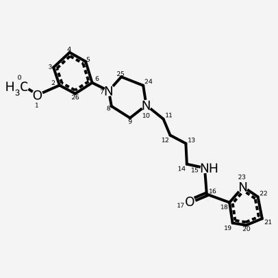 COc1cccc(N2CCN(CCCCNC(=O)c3ccccn3)CC2)c1